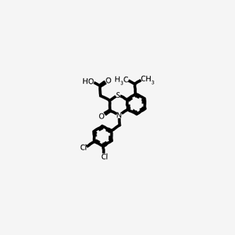 CC(C)c1cccc2c1SC(CC(=O)O)C(=O)N2Cc1ccc(Cl)c(Cl)c1